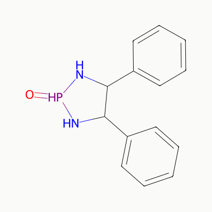 O=[PH]1NC(c2ccccc2)C(c2ccccc2)N1